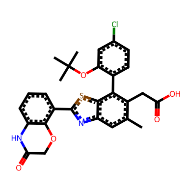 Cc1cc2nc(-c3cccc4c3OCC(=O)N4)sc2c(-c2ccc(Cl)cc2OC(C)(C)C)c1CC(=O)O